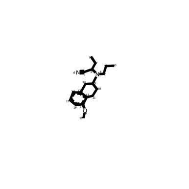 CCCN(C(C#N)CC)C1CCc2c(cccc2OC)C1